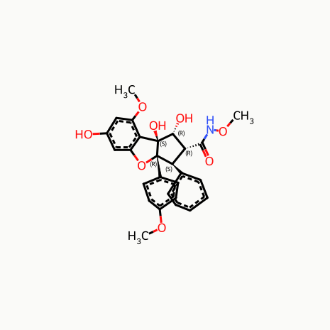 CONC(=O)[C@H]1[C@@H](O)[C@@]2(O)c3c(OC)cc(O)cc3O[C@@]2(c2ccc(OC)cc2)[C@@H]1c1ccccc1